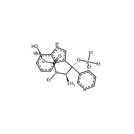 CCN(C(=O)OC(C)(C)C)[C@H](C)[C@](O[Si](CC)(CC)CC)(c1cccnc1)c1c[nH]c2c(O)cccc12